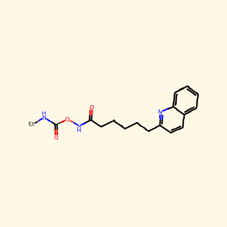 CCNC(=O)ONC(=O)CCCCCc1ccc2ccccc2n1